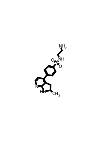 CC1Cc2c(-c3ccc(S(=O)(=O)NCCN)cc3)ccnc2N1